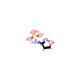 O=S(=O)(O)Nc1ccon1